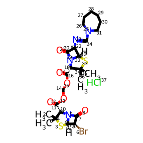 CC1(C)S[C@@H]2[C@H](Br)C(=O)N2[C@H]1C(=O)OCOC(=O)[C@@H]1N2C(=O)[C@@H](N=CN3CCCCCC3)[C@H]2SC1(C)C.Cl